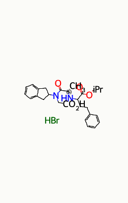 Br.CC(C)OC(=O)C(CCc1ccccc1)N[C@@H](C)C(=O)N(CC(=O)O)C1Cc2ccccc2C1